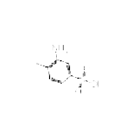 Nc1cc(S(=O)(=O)O)ccc1I